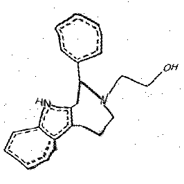 OCCN1CCc2c([nH]c3ccccc23)C1c1ccccc1